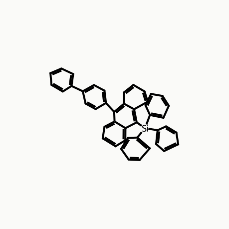 c1ccc(-c2ccc(-c3c4ccccc4c([Si](c4ccccc4)(c4ccccc4)c4ccccc4)c4ccccc34)cc2)cc1